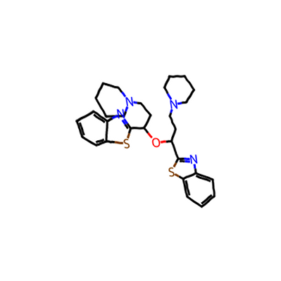 c1ccc2sc(C(CCN3CCCCC3)OC(CCN3CCCCC3)c3nc4ccccc4s3)nc2c1